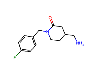 NCC1CCN(Cc2ccc(F)cc2)C(=O)C1